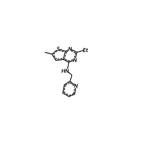 CCc1nc(NCc2ccccn2)c2cc(C)sc2n1